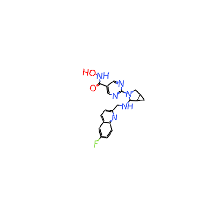 O=C(NO)c1cnc(N2CC3CC3C2NCc2ccc3cc(F)ccc3n2)nc1